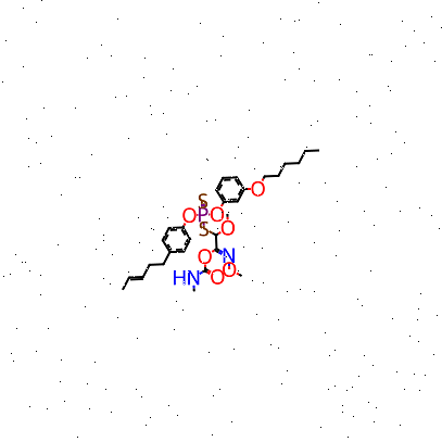 CC=CCCc1ccc(OP(=S)(Oc2cccc(OCCCCCC)c2)SC(OC)C(=NOC)OC(=O)NC)cc1